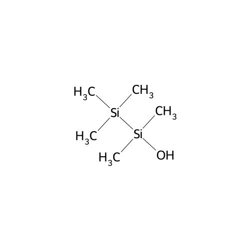 C[Si](C)(C)[Si](C)(C)O